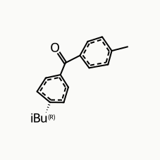 CC[C@@H](C)c1ccc(C(=O)c2ccc(C)cc2)cc1